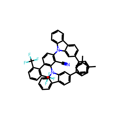 Cc1cccc(-c2ccc3c4ccccc4n(-c4ccc(-c5c(C(F)(F)F)cccc5C(F)(F)F)c(-n5c6ccccc6c6ccc(-c7cccc(C)c7)cc65)c4C#N)c3c2)c1